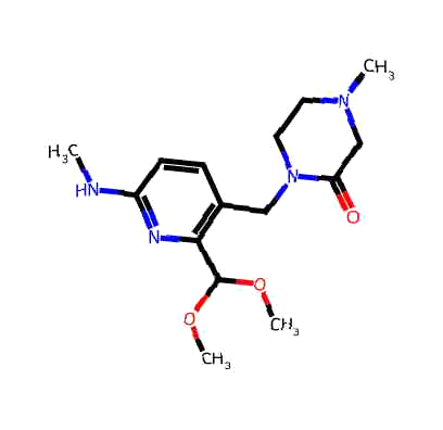 CNc1ccc(CN2CCN(C)CC2=O)c(C(OC)OC)n1